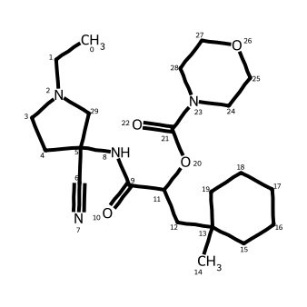 CCN1CCC(C#N)(NC(=O)C(CC2(C)CCCCC2)OC(=O)N2CCOCC2)C1